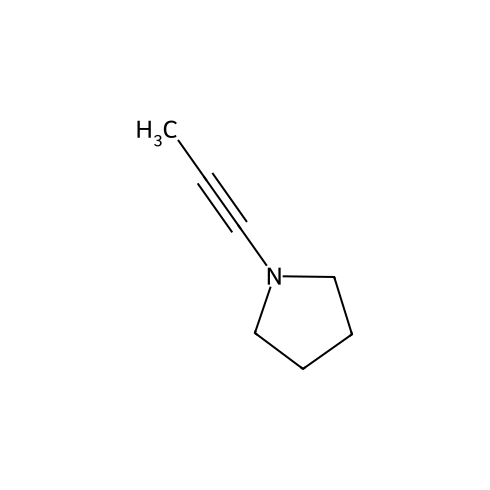 CC#CN1CCCC1